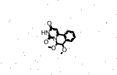 COC1c2ccccc2-c2cc(=O)[nH]c(=O)n2C1OC